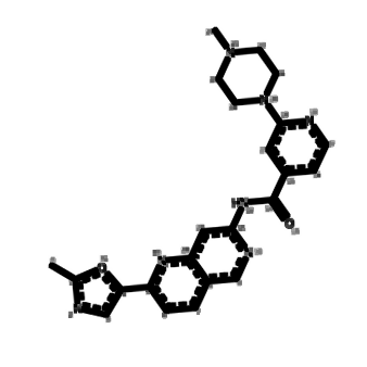 Cc1ncc(-c2ccc3cnc(NC(=O)c4ccnc(N5CCN(C)CC5)c4)cc3n2)o1